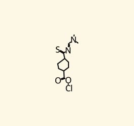 CN(C)/C=N/C(=S)C1CCC(C(=O)OCl)CC1